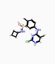 Cc1ccc(Nc2nc(Cl)ncc2C)cc1[S+]([O-])NC1CCC1